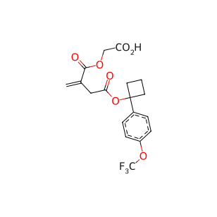 C=C(CC(=O)OC1(c2ccc(OC(F)(F)F)cc2)CCC1)C(=O)OCC(=O)O